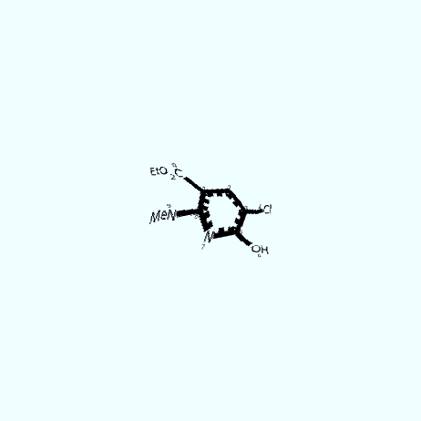 CCOC(=O)c1cc(Cl)c(O)nc1NC